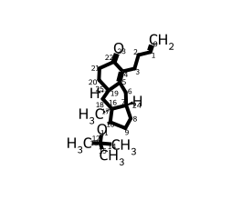 C=CCCC1=C2C[C@@H]3CC[C@H](OC(C)(C)C)[C@@]3(C)C[C@H]2CCC1=O